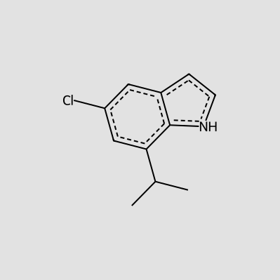 CC(C)c1cc(Cl)cc2cc[nH]c12